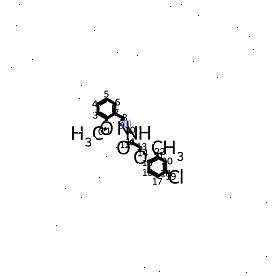 COc1ccccc1/C=N/NC(=O)COc1ccc(Cl)cc1C